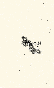 CC1(O[C@@H](C(=O)N2Cc3ccc(Cl)c(OCc4ccccc4)c3C[C@@H]2C(=O)O)c2ccccc2)CCCC1